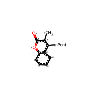 CCCCCc1c(C)c(=O)oc2ccccc12